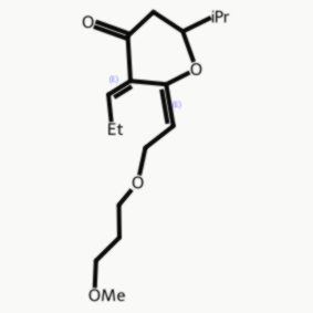 CC/C=C1/C(=O)CC(C(C)C)O/C1=C/COCCCOC